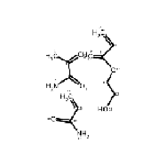 C=C(C)C(N)=O.C=CC(=O)OCCO.C=CC(N)=O